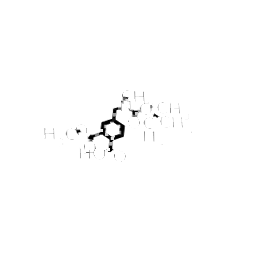 COC(=O)c1cc(CN(C)C(=O)OC(C)(C)C)ccc1C(=O)O